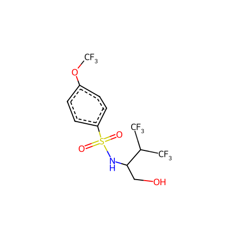 O=S(=O)(NC(CO)C(C(F)(F)F)C(F)(F)F)c1ccc(OC(F)(F)F)cc1